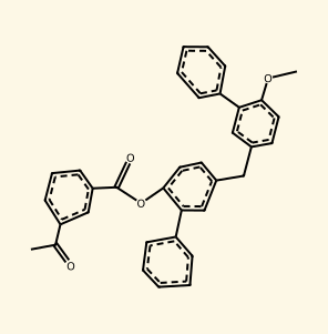 COc1ccc(Cc2ccc(OC(=O)c3cccc(C(C)=O)c3)c(-c3ccccc3)c2)cc1-c1ccccc1